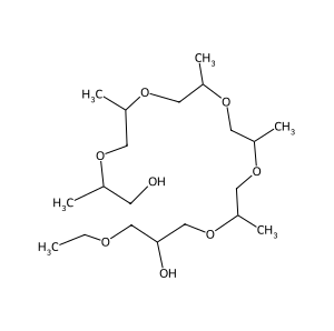 CCOCC(O)COC(C)COC(C)COC(C)COC(C)COC(C)CO